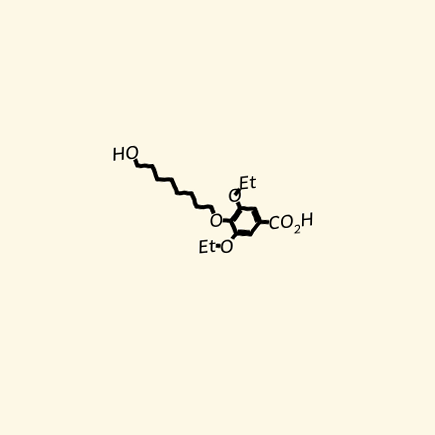 CCOc1cc(C(=O)O)cc(OCC)c1OCCCCCCCCO